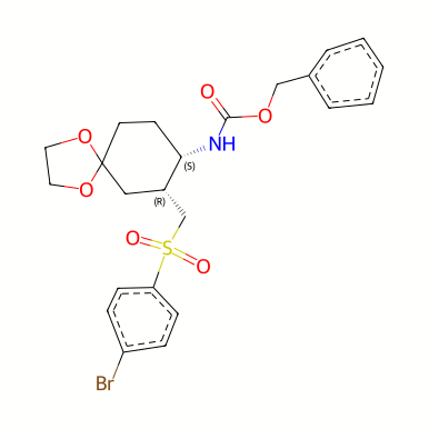 O=C(N[C@H]1CCC2(C[C@H]1CS(=O)(=O)c1ccc(Br)cc1)OCCO2)OCc1ccccc1